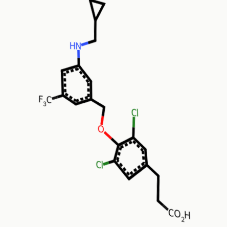 O=C(O)CCc1cc(Cl)c(OCc2cc(NCC3CC3)cc(C(F)(F)F)c2)c(Cl)c1